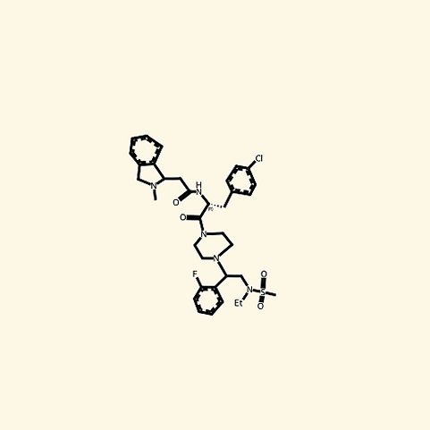 CCN(CC(c1ccccc1F)N1CCN(C(=O)[C@@H](Cc2ccc(Cl)cc2)NC(=O)CC2c3ccccc3CN2C)CC1)S(C)(=O)=O